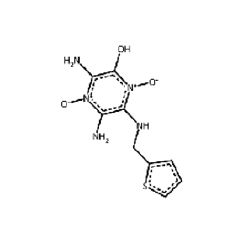 Nc1c(O)[n+]([O-])c(NCc2cccs2)c(N)[n+]1[O-]